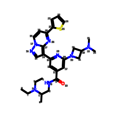 CCN(CC)C(C)CNC(=O)c1cc(-c2cnn3ccc(-c4cccs4)nc23)nc(N2CC(N(C)C)C2)c1